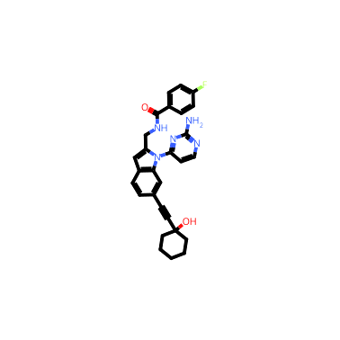 Nc1nccc(-n2c(CNC(=O)c3ccc(F)cc3)cc3ccc(C#CC4(O)CCCCC4)cc32)n1